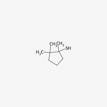 CC1(C)CCCC1(C)S